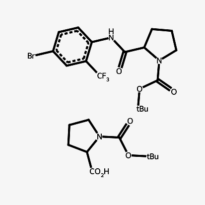 CC(C)(C)OC(=O)N1CCCC1C(=O)Nc1ccc(Br)cc1C(F)(F)F.CC(C)(C)OC(=O)N1CCCC1C(=O)O